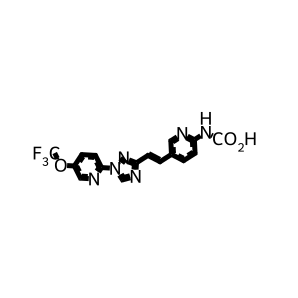 O=C(O)Nc1ccc(C=Cc2ncn(-c3ccc(OC(F)(F)F)cn3)n2)cn1